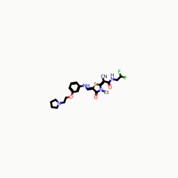 CCn1c(=C(C#N)C(=O)NCC(F)F)sc(=CNc2cccc(OCCN3CCCC3)c2)c1=O